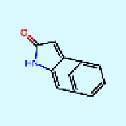 O=C1C=c2c(cc3cccc2c3)N1